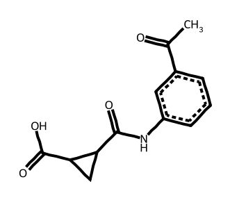 CC(=O)c1cccc(NC(=O)C2CC2C(=O)O)c1